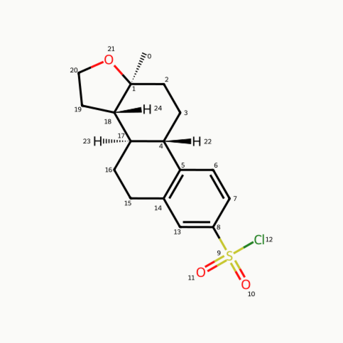 C[C@]12CC[C@@H]3c4ccc(S(=O)(=O)Cl)cc4CC[C@H]3[C@@H]1CCO2